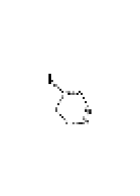 IC1=CC#CCC1